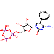 Nc1nc(=O)n([C@@H]2O[C@H](COP3(=O)OP(=O)(O)OP(=O)(O)O3)C(O)[C@@H]2O)cc1-c1ccccc1